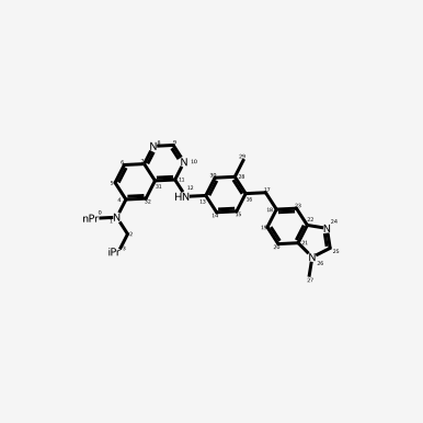 CCCN(CC(C)C)c1ccc2ncnc(Nc3ccc(Cc4ccc5c(c4)ncn5C)c(C)c3)c2c1